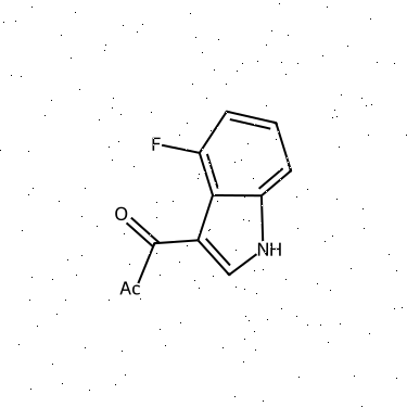 CC(=O)C(=O)c1c[nH]c2cccc(F)c12